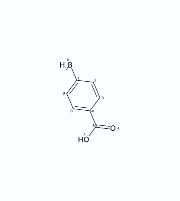 Bc1ccc(C(=O)O)cc1